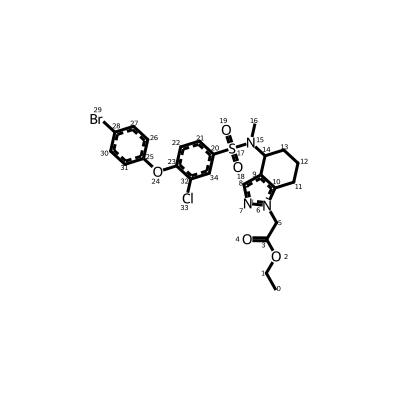 CCOC(=O)Cn1ncc2c1CCCC2N(C)S(=O)(=O)c1ccc(Oc2ccc(Br)cc2)c(Cl)c1